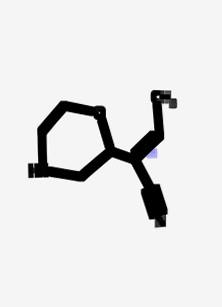 C/C=C(/C#N)C1CNCCO1